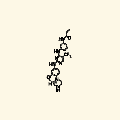 C=CC(=O)Nc1cccc(Nc2nc(Nc3ccc4c(c3)OC[C@@H]3CNCCN43)ncc2C(F)(F)F)c1